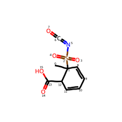 CC1(S(=O)(=O)N=C=O)C=CC=CC1C(=O)O